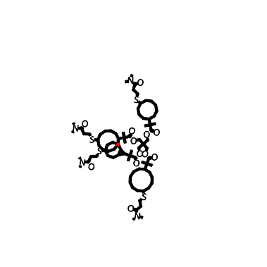 CN(C)C(=O)CCSC1CCCCCCC(C(C)(C)C(=O)OCC(COC(=O)C(C)(C)C2CCCCCC(SCCC(=O)N(C)C)CCCC2)(COC(=O)C(C)(C)C2CCCCCC(SCCC(=O)N(C)C)CCC2)COC(=O)C(C)(C)C2C3CCCC(SCCC(=O)N(C)C)CCC32)CCCC1